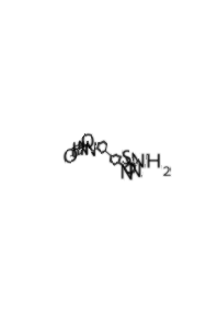 Nc1ncnc2c1sc1cc(-c3cccc(NC(=O)N4CCOCC4)c3)ccc12